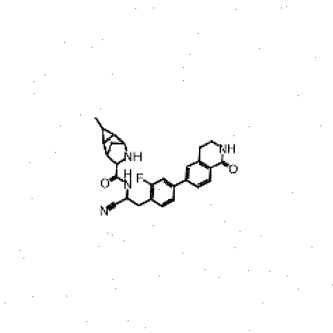 CC1C2C3CC(C(C(=O)NC(C#N)Cc4ccc(-c5ccc6c(c5)CCNC6=O)cc4F)N3)C12